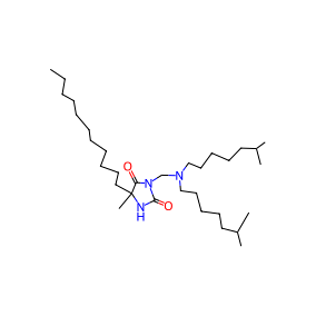 CCCCCCCCCCCC1(C)NC(=O)N(CN(CCCCCC(C)C)CCCCCC(C)C)C1=O